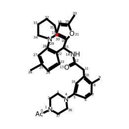 CC(=O)N1CCN(c2ccc(C)c(CC(=O)NC(c3ccc(C)o3)c3ccc(C)cc3N3CCCCC3)c2)CC1